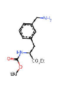 CCOC(=O)C(Cc1cccc(CN)c1)NC(=O)OC(C)(C)C